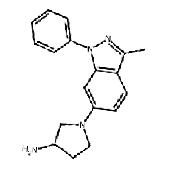 Cc1nn(-c2ccccc2)c2cc(N3CCC(N)C3)ccc12